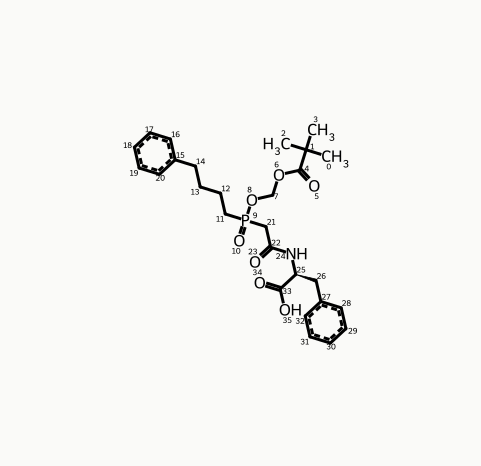 CC(C)(C)C(=O)OCOP(=O)(CCCCc1ccccc1)CC(=O)N[C@@H](Cc1ccccc1)C(=O)O